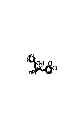 CCCN(CC(O)c1cncnc1)C(=O)Cc1ccc(Cl)c(Cl)c1